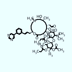 CCC(=O)O[C@@H]1CC(=O)O[C@@H](C/C=C/c2cccc(-c3cncnc3)c2)CCCN(C)C[C@H](O)[C@H](C)C[C@H](CC=O)[C@H](O[C@@H]2OC(C)[C@@H](O[C@H]3CC(C)(OC(C)=O)[C@@H](OC(=O)CC)C(C)O3)C(N(C)C)C2O)[C@H]1OC